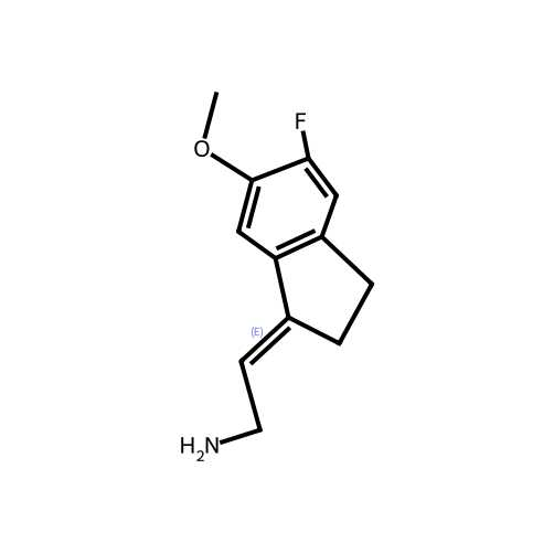 COc1cc2c(cc1F)CC/C2=C\CN